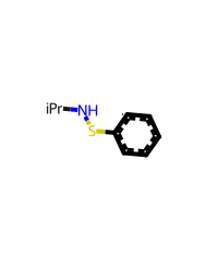 CC(C)NSc1[c]cccc1